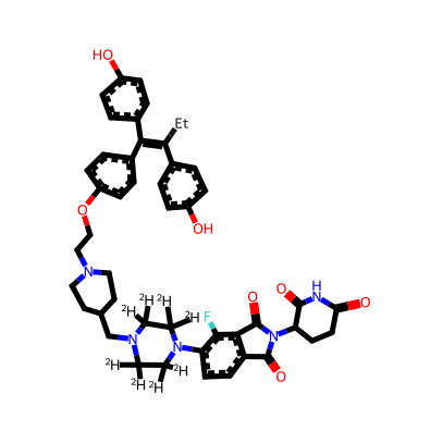 [2H]C1([2H])N(CC2CCN(CCOc3ccc(C(=C(CC)c4ccc(O)cc4)c4ccc(O)cc4)cc3)CC2)C([2H])([2H])C([2H])([2H])N(c2ccc3c(c2F)C(=O)N(C2CCC(=O)NC2=O)C3=O)C1([2H])[2H]